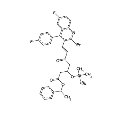 CC(C)c1nc2ccc(F)cc2c(-c2ccc(F)cc2)c1C=CC(=O)CC(CC(=O)OC(C)c1ccccc1)O[Si](C)(C)C(C)(C)C